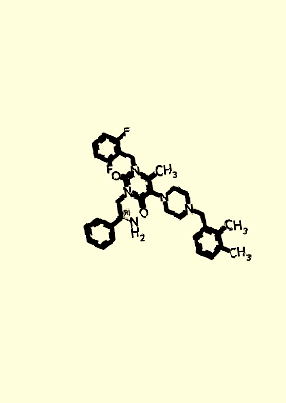 Cc1cccc(CN2CCN(c3c(C)n(Cc4c(F)cccc4F)c(=O)n(C[C@H](N)c4ccccc4)c3=O)CC2)c1C